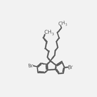 CCCCCCCCC1(CCCCCC)c2cc(Br)ccc2-c2ccc(Br)cc21